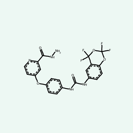 NNC(=O)c1cc(Oc2ccc(NC(=O)Nc3ccc4c(c3)C(F)(F)OC(F)(F)O4)cc2)ccn1